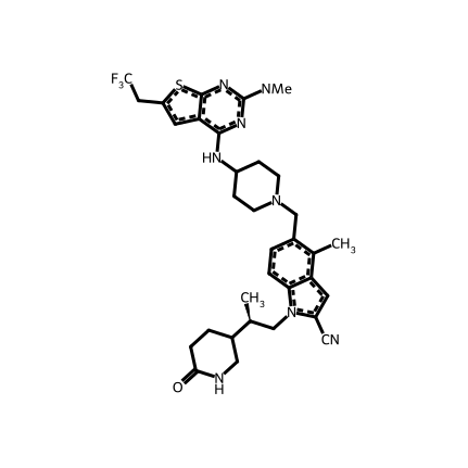 CNc1nc(NC2CCN(Cc3ccc4c(cc(C#N)n4C[C@H](C)C4CCC(=O)NC4)c3C)CC2)c2cc(CC(F)(F)F)sc2n1